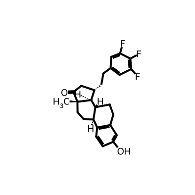 C[C@]12CC[C@@H]3c4ccc(O)cc4CC[C@H]3[C@@H]1[C@@H](CCc1cc(F)c(F)c(F)c1)CC2=O